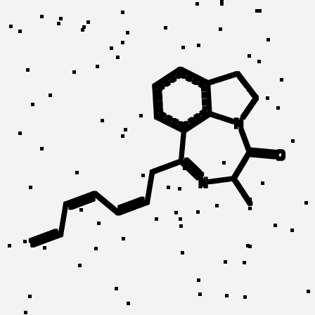 C=C/C=C\C=C/CC1=NC(C)C(=O)N2CCc3cccc1c32